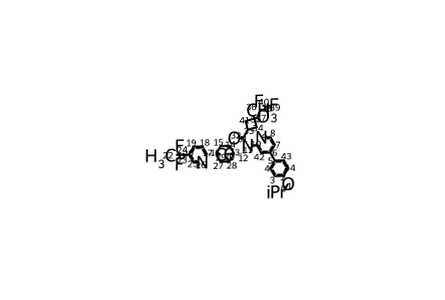 CC(C)Oc1ccc(-c2ccnc(N(C[C@]34CC[C@](c5ccc(C(C)(F)F)cn5)(CC3)CC4)C(=O)C3CC(C)(OC(F)F)C3)c2)cc1